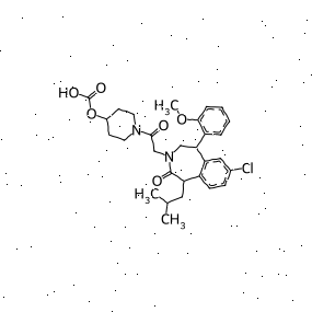 COc1ccccc1C1CN(CC(=O)N2CCC(OC(=O)O)CC2)C(=O)C(CC(C)C)c2ccc(Cl)cc21